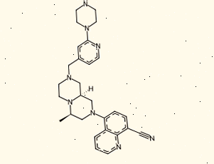 C[C@@H]1CN(c2ccc(C#N)c3ncccc23)C[C@@H]2CN(Cc3ccnc(N4CCNCC4)c3)CCN21